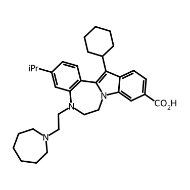 CC(C)c1ccc2c(c1)N(CCN1CCCCCC1)CCn1c-2c(C2CCCCC2)c2ccc(C(=O)O)cc21